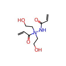 C=CC(=O)N[N+](CCO)(CCO)C(=O)C=C